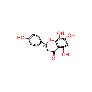 O=C1C[C@@H](c2ccc(O)cc2)Oc2c(O)c(O)cc(O)c21